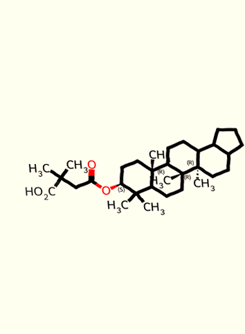 CC(C)(CC(=O)O[C@H]1CC[C@@]2(C)C(CC[C@]3(C)C2CCC2C4CCCC4CC[C@]23C)C1(C)C)C(=O)O